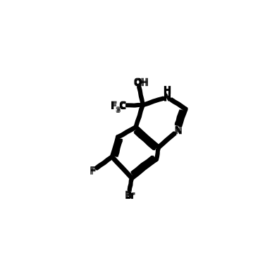 OC1(C(F)(F)F)NC=Nc2cc(Br)c(F)cc21